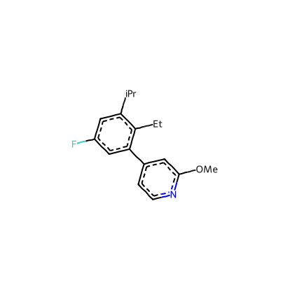 CCc1c(-c2ccnc(OC)c2)cc(F)cc1C(C)C